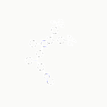 CC(C)(C)c1ccc(-c2cc3nc(-c4ccccc4)c(-c4ccc(N(c5ccccc5)c5ccc(-c6cn7ccccc7n6)cc5)cc4)nc3cc2-c2ccc(C(C)(C)C)cc2)cc1